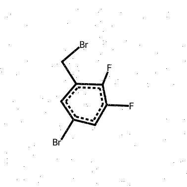 Fc1cc(Br)cc(CBr)c1F